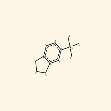 C[N+](C)(C)c1ccc2c(c1)CCC2